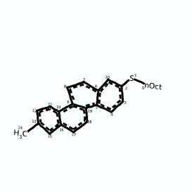 CCCCCCCCSc1ccc2c(ccc3c4ccc(C)cc4ccc23)c1